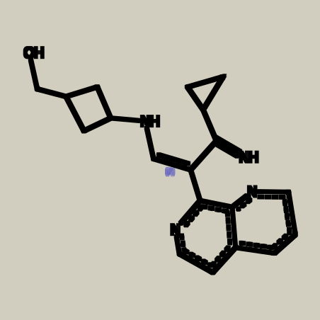 N=C(/C(=C\NC1CC(CO)C1)c1nccc2cccnc12)C1CC1